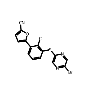 N#Cc1ccc(-c2cccc(Sc3cnc(Br)cn3)c2Cl)o1